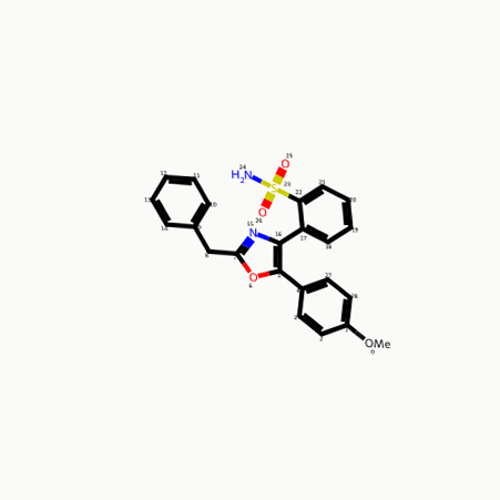 COc1ccc(-c2oc(Cc3ccccc3)nc2-c2ccccc2S(N)(=O)=O)cc1